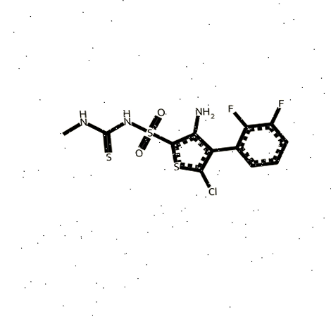 CNC(=S)NS(=O)(=O)c1sc(Cl)c(-c2cccc(F)c2F)c1N